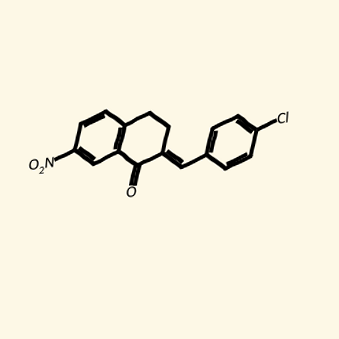 O=C1C(=Cc2ccc(Cl)cc2)CCc2ccc([N+](=O)[O-])cc21